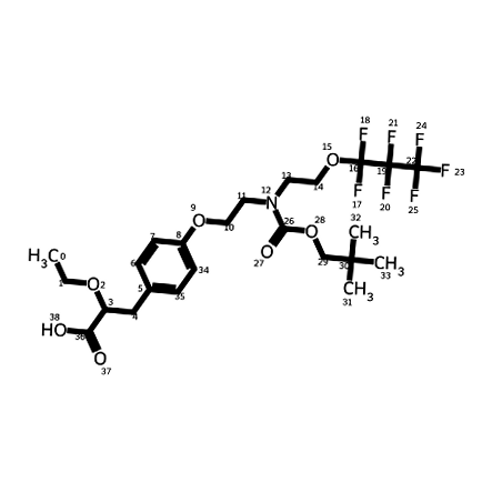 CCOC(Cc1ccc(OCCN(CCOC(F)(F)C(F)(F)C(F)(F)F)C(=O)OCC(C)(C)C)cc1)C(=O)O